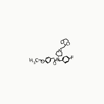 CCOc1ccc(CC(=O)N(Cc2ccc(F)cc2)C2CCN(CCC3OCCCO3)CC2)cc1